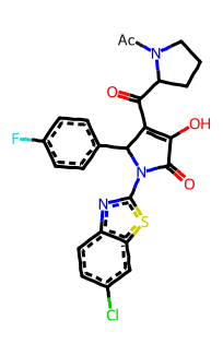 CC(=O)N1CCCC1C(=O)C1=C(O)C(=O)N(c2nc3ccc(Cl)cc3s2)C1c1ccc(F)cc1